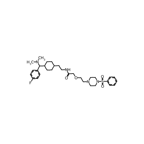 CN(C)C(c1ccc(F)cc1)C1CCC(CCNC(=O)COCCN2CCN(S(=O)(=O)c3ccccc3)CC2)CC1